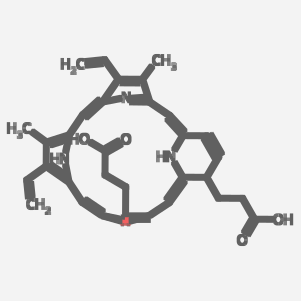 C=CC1=C(C)c2cc3[nH]c(cc4nc(cc5[nH]c(cc1n2)c(C)c5C=C)C4CCC(=O)O)C(CCC(=O)O)C#C3